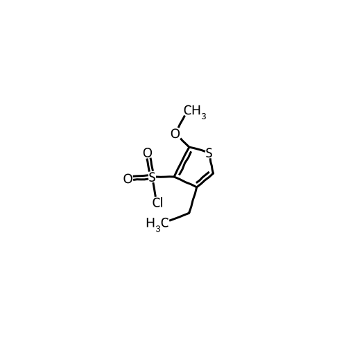 CCc1csc(OC)c1S(=O)(=O)Cl